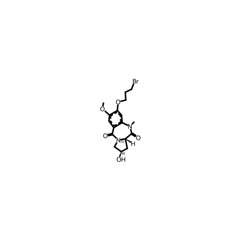 COc1cc2c(cc1OCCCBr)N(C)C(=O)[C@@H]1C[C@@H](O)CN1C2=O